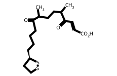 CC(CCC(C)C(=O)CCCC[C@@H]1CCSS1)C(=O)/C=C/C(=O)O